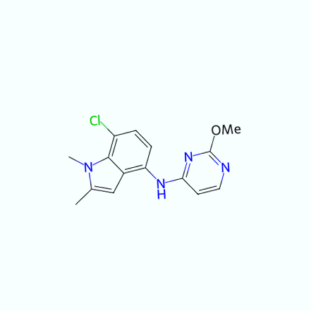 COc1nccc(Nc2ccc(Cl)c3c2cc(C)n3C)n1